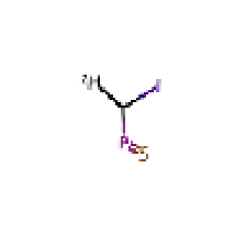 [2H]C(I)P=S